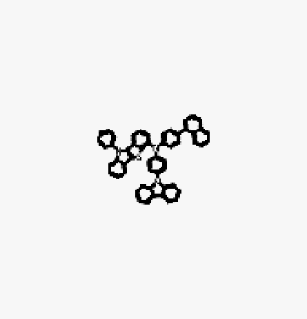 c1ccc(-n2c3ccccc3c3sc4c(N(c5ccc(-c6cccc7ccccc67)cc5)c5ccc(-n6c7ccccc7c7ccccc76)cc5)cccc4c32)cc1